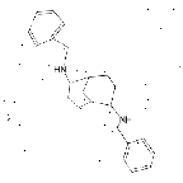 c1ccc(CNC2CCC3CC2CCC3NCc2ccccc2)cc1